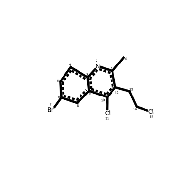 Cc1nc2ccc(Br)cc2c(Cl)c1CCCl